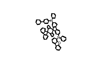 c1ccc(-c2ccc(N(c3ccccc3)c3ccc4c(c3)C3(c5cc(N(c6ccccc6)c6cccc7c6oc6ccccc67)ccc5-4)c4ccccc4C(c4ccccc4)(c4ccccc4)c4ccccc43)cc2)cc1